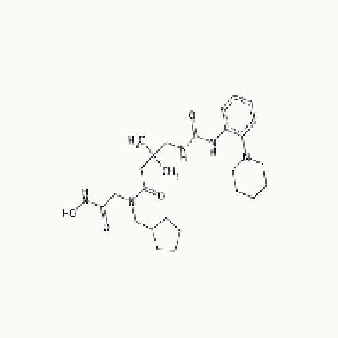 CC(C)(CNC(=O)Nc1ccccc1N1CCCCC1)CC(=O)N(CC(=O)NO)CC1CCCC1